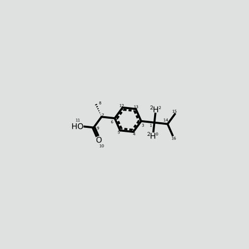 [2H]C([2H])(c1ccc([C@@H](C)C(=O)O)cc1)C(C)C